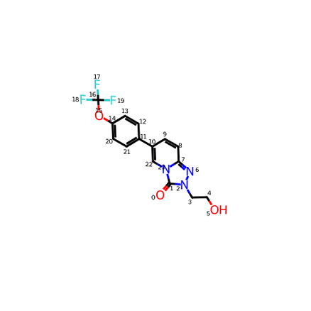 O=c1n(CCO)nc2ccc(-c3ccc(OC(F)(F)F)cc3)cn12